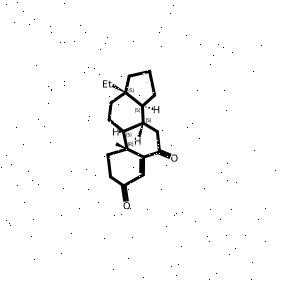 CC[C@@]12CCC[C@H]1[C@@H]1CC(=O)C3=CC(=O)CC[C@]3(C)[C@H]1CC2